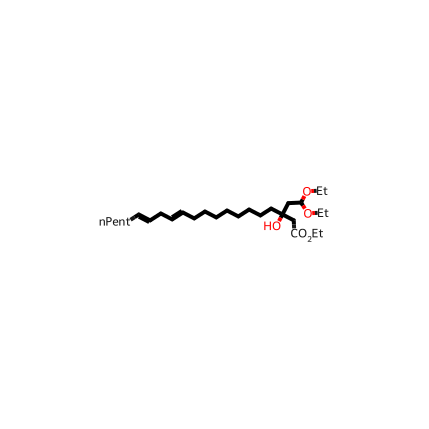 CCCCCC=CCC=CCCCCCCCCC(O)(CC(=O)OCC)CC(OCC)OCC